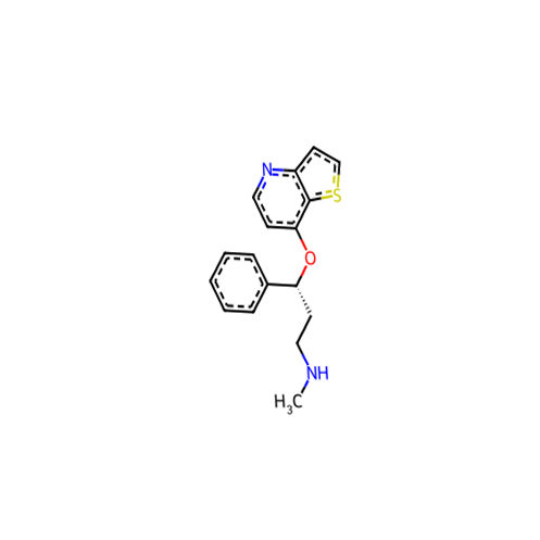 CNCC[C@@H](Oc1ccnc2ccsc12)c1ccccc1